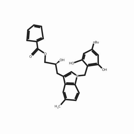 CCCCc1cc(O)c(Cn2cc(C[C@H](O)COC(=O)c3ccccc3)c3cc(C)ccc32)c(O)c1